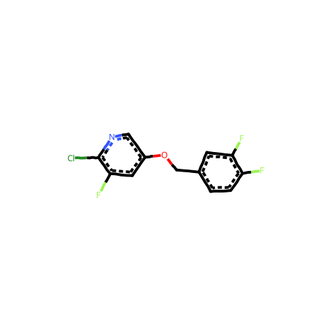 Fc1ccc(COc2cnc(Cl)c(F)c2)cc1F